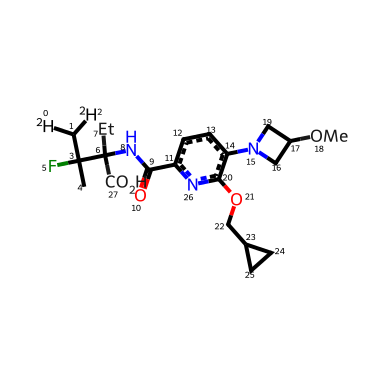 [2H]C([2H])C(C)(F)C(CC)(NC(=O)c1ccc(N2CC(OC)C2)c(OCC2CC2)n1)C(=O)O